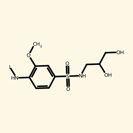 COc1cc(S(=O)(=O)NCC(O)CO)ccc1NI